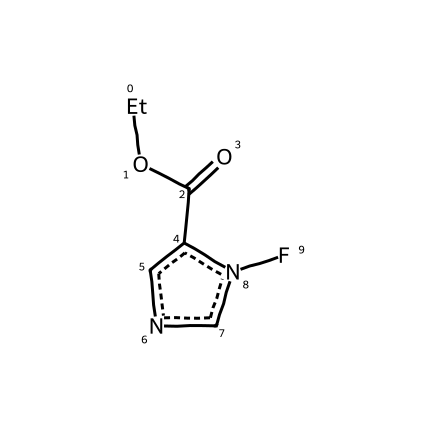 CCOC(=O)c1cncn1F